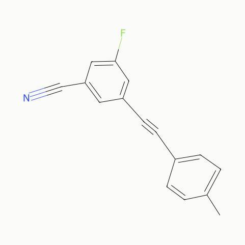 Cc1ccc(C#Cc2cc(F)cc(C#N)c2)cc1